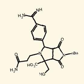 CCCCN1C(=O)C2C(c3ccc(C(=N)N)cc3)N(CCC(N)=O)C(CO)(C(=O)O)C2C1=O